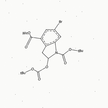 COC(=O)c1cc(Br)cc2c1CC(OC(=O)OC(C)(C)C)N2C(=O)OC(C)(C)C